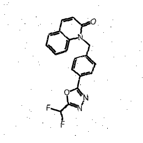 O=c1ccc2ccccc2n1Cc1ccc(-c2nnc(C(F)F)o2)cc1